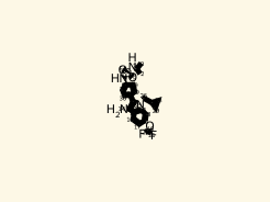 CC(C)NS(=O)(=O)Nc1ccc(-c2c(N)c3ccc(OC(F)F)cc3n2CC2CC2)cc1